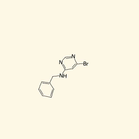 Brc1cc(NCc2ccccc2)ncn1